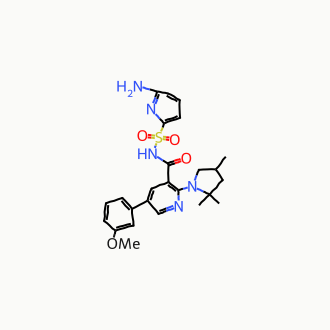 COc1cccc(-c2cnc(N3CC(C)CC3(C)C)c(C(=O)NS(=O)(=O)c3cccc(N)n3)c2)c1